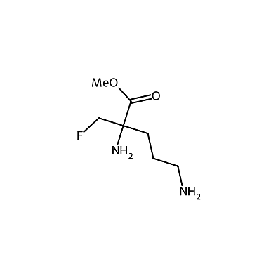 COC(=O)C(N)(CF)CCCN